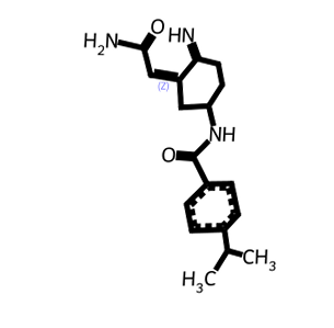 CC(C)c1ccc(C(=O)NC2CCC(=N)/C(=C\C(N)=O)C2)cc1